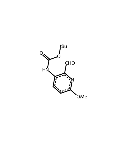 COc1ccc(NC(=O)OC(C)(C)C)c(C=O)n1